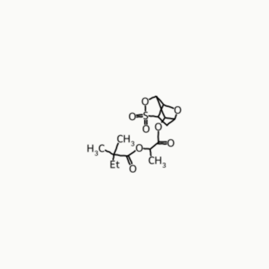 CCC(C)(C)C(=O)OC(C)C(=O)OC1C2CC3C(O2)C1OS3(=O)=O